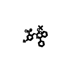 CC(C)(C)OC(=O)[C@H](Cc1ccc(Br)cc1[N+](=O)[O-])N=C(c1ccccc1)c1ccccc1